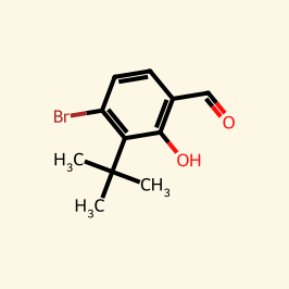 CC(C)(C)c1c(Br)ccc(C=O)c1O